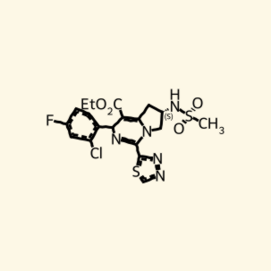 CCOC(=O)C1=C2C[C@H](NS(C)(=O)=O)CN2C(c2nncs2)=NC1c1ccc(F)cc1Cl